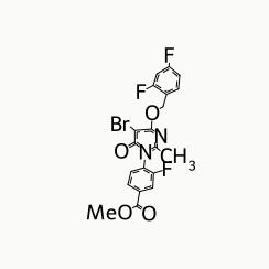 COC(=O)c1ccc(-n2c(C)nc(OCc3ccc(F)cc3F)c(Br)c2=O)c(F)c1